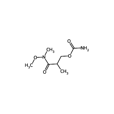 CON(C)C(=O)C(C)COC(N)=O